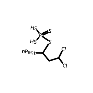 CCCCCC(CC(Cl)Cl)SP(=S)(S)S